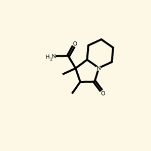 CC1C(=O)N2CCCCC2C1(C)C(N)=O